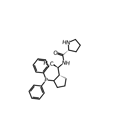 C[C@@H](NC(=O)[C@H]1CCCN1)[C@@H]1CCCC1P(c1ccccc1)c1ccccc1